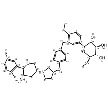 CCc1ccc([C@@H]2O[C@H](SC)[C@@H](O)[C@H](O)[C@H]2O)cc1Cc1ccc(O[C@H]2CCN([C@H]3CO[C@H](c4cc(F)ccc4F)[C@@H](N)C3)C2)cc1